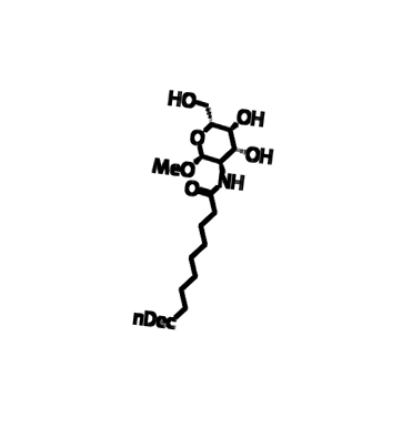 CCCCCCCCCCCCCCCCCC(=O)N[C@H]1[C@@H](OC)O[C@H](CO)[C@@H](O)[C@@H]1O